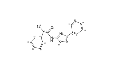 CCC(C(=O)Nc1nc(-c2ccccc2)cs1)c1ccccc1